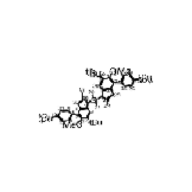 COc1c(C(C)(C)C)cc2c(c1-c1ccc(C(C)(C)C)cc1)C=C(C)C2[Si](C)(C)C1C(C)=Cc2c1cc(C(C)(C)C)c(OC)c2-c1ccc(C(C)(C)C)cc1